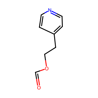 O=COCCc1ccncc1